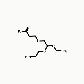 CCOC(COCCC(=O)O)OCCN